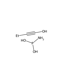 CCC#CO.NP(O)O